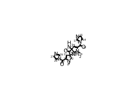 CN1CC(N)(C(=O)C2(N)C=C(C(=O)n3ccnc3)N(C)C2)C=C1C(=O)n1ccnc1